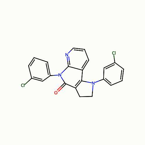 O=c1c2c(c3cccnc3n1-c1cccc(Cl)c1)N(c1cccc(Cl)c1)CC2